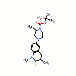 CC1Cc2cc(N3CCN(C(=O)OC(C)(C)C)C(C)C3)ccc2N(C)[C@H]1F